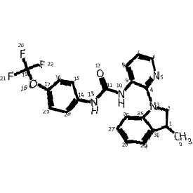 CC1CN(c2ncccc2NC(=O)Nc2ccc(OC(F)(F)F)cc2)c2ccccc21